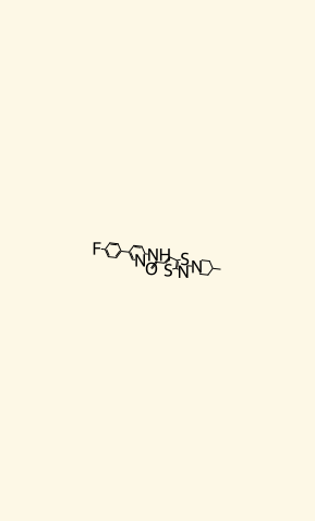 CC1CCN(c2nc3sc(C(=O)Nc4ccc(-c5ccc(F)cc5)cn4)cc3s2)CC1